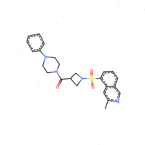 Cc1cc2c(S(=O)(=O)N3CC(C(=O)N4CCN(c5ccccc5)CC4)C3)cccc2cn1